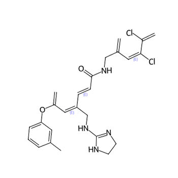 C=C(/C=C(/Cl)C(=C)Cl)CNC(=O)/C=C/C(=C\C(=C)Oc1cccc(C)c1)CNC1=NCCN1